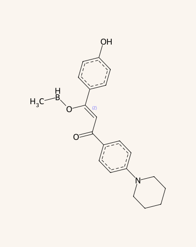 CBO/C(=C\C(=O)c1ccc(N2CCCCC2)cc1)c1ccc(O)cc1